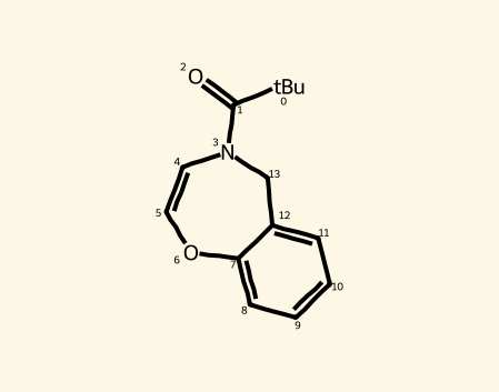 CC(C)(C)C(=O)N1C=COc2ccccc2C1